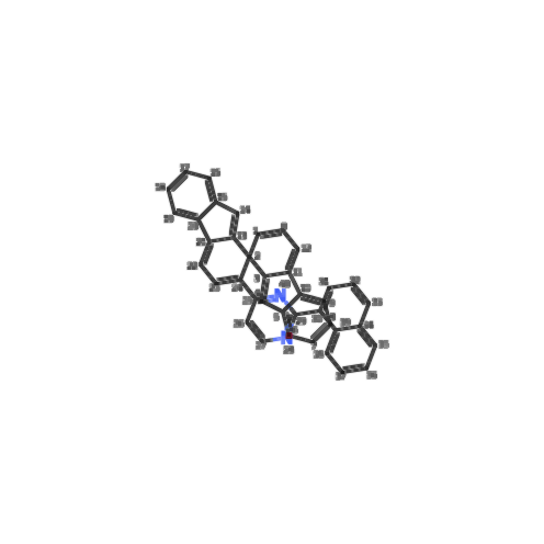 C1=CC2(C3=Cc4ccccc4C3=C1)C1=Cc3ccccc3C1=CC=C2c1ccnc(-c2cccc3ccccc23)n1